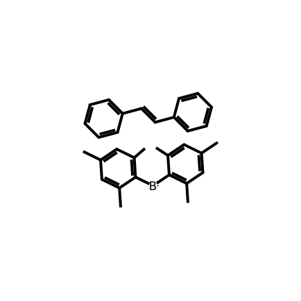 C(=Cc1ccccc1)c1ccccc1.Cc1cc(C)c([B]c2c(C)cc(C)cc2C)c(C)c1